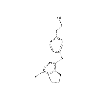 N#CCCc1ccc(Oc2ccc(F)c3c2CCC3)cc1